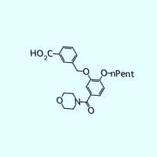 CCCCCOc1ccc(C(=O)N2CCOCC2)cc1OCc1cccc(C(=O)O)c1